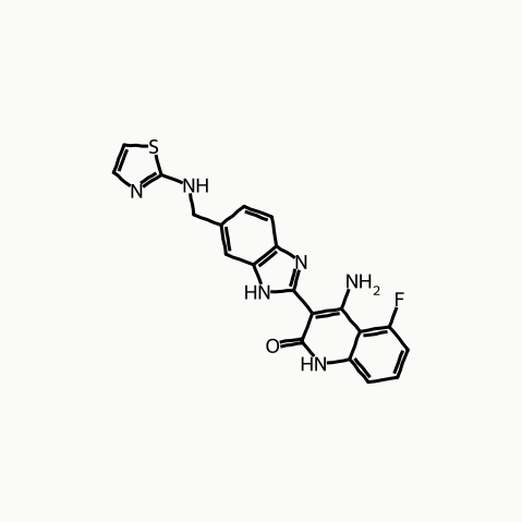 Nc1c(-c2nc3ccc(CNc4nccs4)cc3[nH]2)c(=O)[nH]c2cccc(F)c12